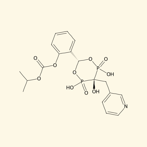 CC(C)OC(=O)Oc1ccccc1[C@H]1OP(=O)(O)[C@@](O)(Cc2cccnc2)P(=O)(O)O1